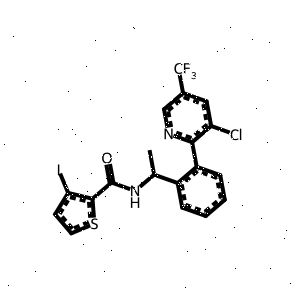 CC(NC(=O)c1sccc1I)c1ccccc1-c1ncc(C(F)(F)F)cc1Cl